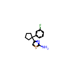 Nc1nc(C2(c3cccc(F)c3)CCCC2)cs1